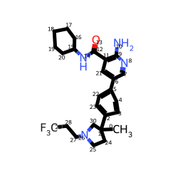 CC1(c2ccc(-c3cnc(N)c(C(=O)NC4CCCCC4)c3)cc2)CCN(CCC(F)(F)F)C1